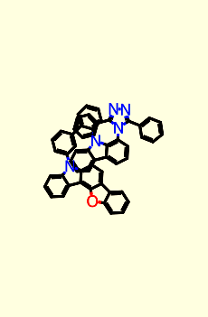 c1ccc(-c2nnc(-c3ccccc3)n2-c2cccc3c4ccccc4n(-c4ccccc4-c4cccc(-n5c6ccccc6c6c7oc8ccccc8c7ccc65)c4)c23)cc1